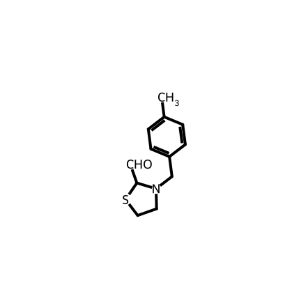 Cc1ccc(CN2CCSC2C=O)cc1